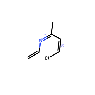 C=C/N=C(C)\C=C/CC